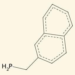 PCc1ccc2ccccc2c1